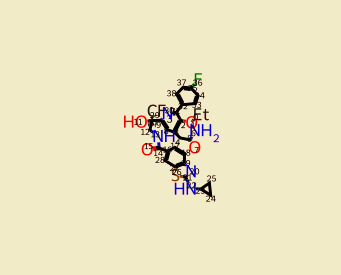 CCOc1c(CC(N)=O)cc([C@@](O)(CNC(=O)c2ccc3nc(NC4CC4)sc3c2)C(F)(F)F)nc1-c1ccc(F)cc1